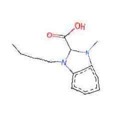 CCCCN1c2ccccc2N(C)C1C(=O)O